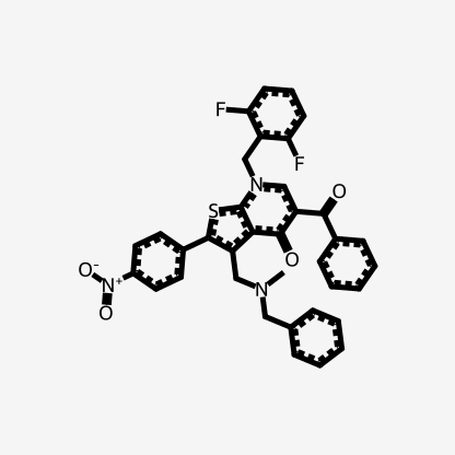 CN(Cc1ccccc1)Cc1c(-c2ccc([N+](=O)[O-])cc2)sc2c1c(=O)c(C(=O)c1ccccc1)cn2Cc1c(F)cccc1F